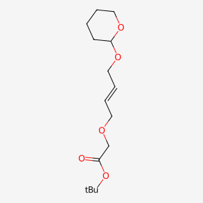 CC(C)(C)OC(=O)COC/C=C/COC1CCCCO1